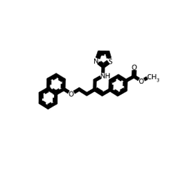 COC(=O)c1ccc(C=C(CCOc2cccc3ccccc23)CNc2nccs2)cc1